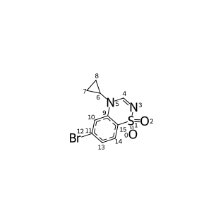 O=S1(=O)N=CN(C2CC2)c2cc(Br)ccc21